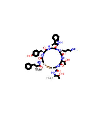 CN[C@H](Cc1ccccc1)C(=O)N[C@H]1CSSC[C@@H](C(=O)NC(C(=O)O)C(C)O)NC(=O)C(C(C)O)NC(=O)[C@H](CCCCN)NC(=O)[C@@H](Cc2c[nH]c3ccccc23)NC(=O)[C@H](Cc2ccc(O)cc2)NC1=O